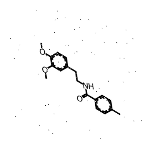 COc1ccc(CCNC(=O)c2ccc(C)cc2)cc1OC